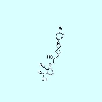 N#Cc1c(OC[C@H](O)CN2CC3(C2)CN(c2ccc(Br)cc2)C3)cccc1C(=O)O